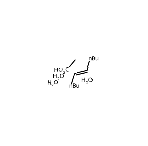 CC(=O)O.CCCCC=CCCCC.O.O.O